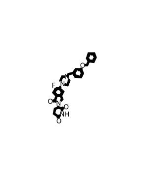 O=C1CCC(N2Cc3cc(N4CCN(Cc5cccc(OCc6ccccc6)c5)CC4)c(F)cc3C2=O)C(=O)N1